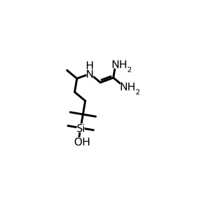 CC(CCC(C)(C)[Si](C)(C)O)NC=C(N)N